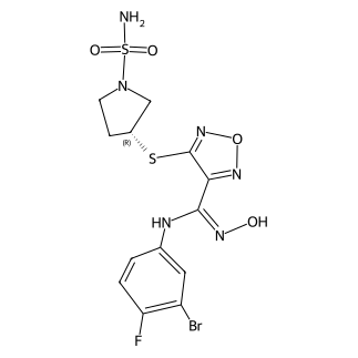 NS(=O)(=O)N1CC[C@@H](Sc2nonc2C(=NO)Nc2ccc(F)c(Br)c2)C1